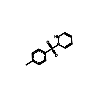 Cc1ccc(S(=O)(=O)N2C=CC=CN2)cc1